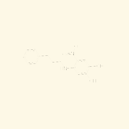 Cc1cc(NCCCc2ccccc2)c([N+](=O)[O-])cc1C